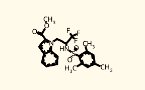 COC(=O)c1cc2ccccc2n1CC(NS(=O)(=O)c1c(C)cc(C)cc1C)C(F)(F)F